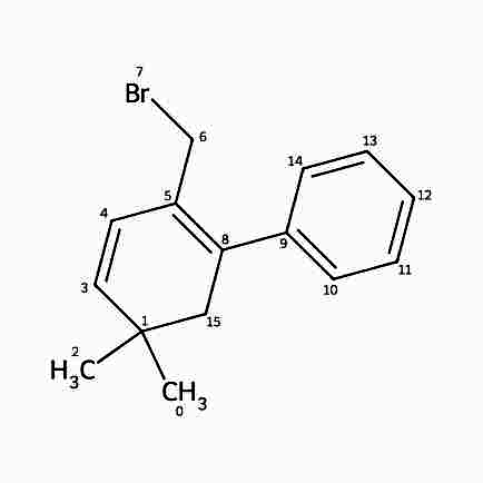 CC1(C)C=CC(CBr)=C(c2ccccc2)C1